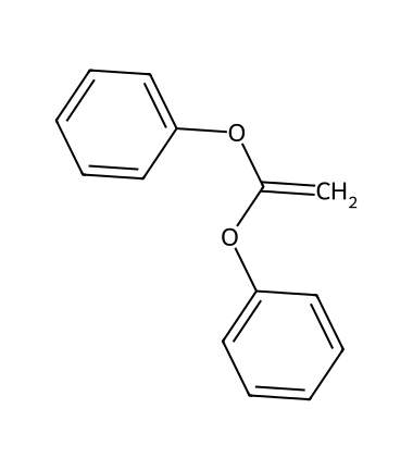 C=C(Oc1ccccc1)Oc1ccccc1